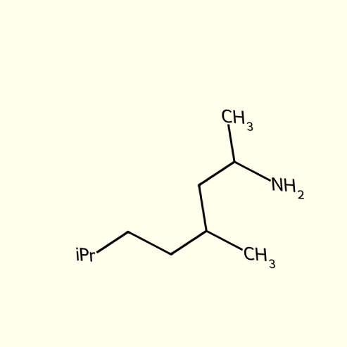 CC(C)CCC(C)CC(C)N